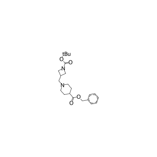 CC(C)(C)OC(=O)N1CC(CN2CCC(C(=O)OCc3ccccc3)CC2)C1